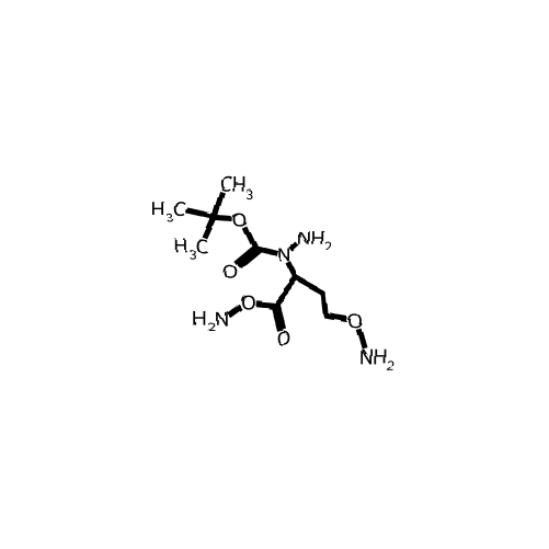 CC(C)(C)OC(=O)N(N)C(CCON)C(=O)ON